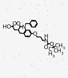 CC(C)(C)OC(=O)NCCCOc1ccc2c(c1)N(Cc1ccccc1)C(=O)C(CC(=O)O)C2